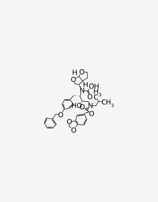 CC(C)CN(C[C@H](O)[C@H](Cc1ccc(OCc2ccccc2)cc1)N(C(=O)O)[C@H]1CO[C@H]2OCC[C@H]21)S(=O)(=O)c1ccc2c(c1)OCO2